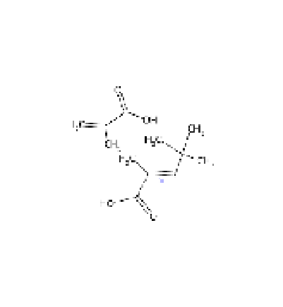 C/C(=C\C(C)(C)C)C(=O)O.C=C(C)C(=O)O